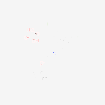 Fc1ccc(C(c2ccc(F)cc2)C2CCN(CCCOc3cccc(C(F)(F)F)c3)CC2)cc1.O=C(O)C(=O)O